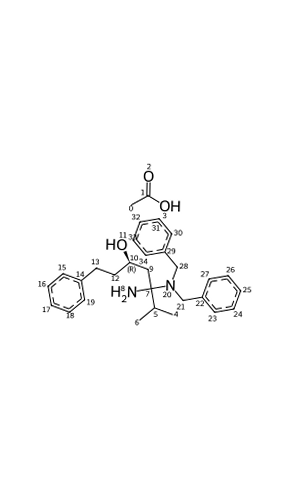 CC(=O)O.CC(C)C(N)(C[C@H](O)CCc1ccccc1)N(Cc1ccccc1)Cc1ccccc1